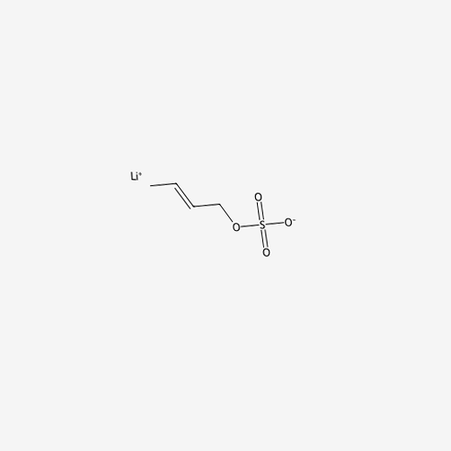 CC=CCOS(=O)(=O)[O-].[Li+]